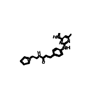 CNc1cc(C)nc(Nc2ccc(CCC(=O)NCCN3CCCC3)cc2)n1